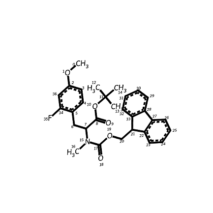 COc1ccc(CC(C(=O)OC(C)(C)C)N(C)C(=O)OCC2c3ccccc3-c3ccccc32)c(F)c1